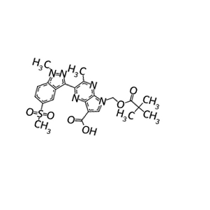 Cc1nc2c(nc1-c1nn(C)c3ccc(S(C)(=O)=O)cc13)c(C(=O)O)cn2COC(=O)C(C)(C)C